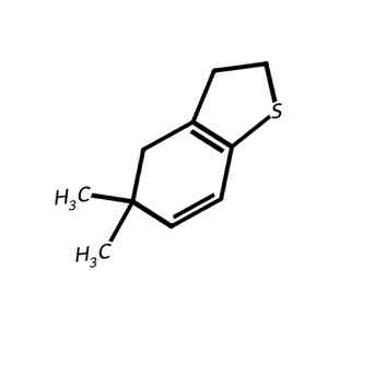 CC1(C)C=CC2=C(CCS2)C1